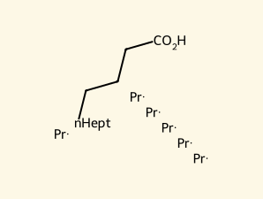 CCCCCCCCCCC(=O)O.[Pr].[Pr].[Pr].[Pr].[Pr].[Pr]